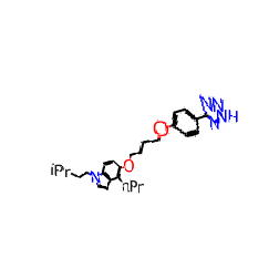 CCCc1c(OCCCCOc2ccc(-c3nn[nH]n3)cc2)ccc2c1ccn2CCC(C)C